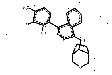 Cc1ccc(-c2nnc(NC3C4CCC3COC4)c3cnccc23)c(O)c1F